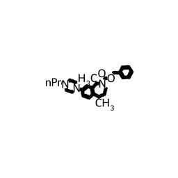 CCCN1CCN(c2ccc3c(c2)[C@H](C)N(C(=O)OCc2ccccc2)CC[C@@H]3C)CC1